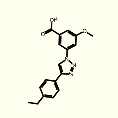 CCc1ccc(-c2cn(-c3cc(OC)cc(C(=O)O)c3)nn2)cc1